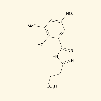 COc1cc([N+](=O)[O-])cc(-c2nnc(SCC(=O)O)[nH]2)c1O